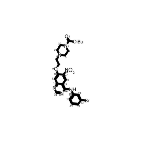 CC(C)COC(=O)N1CCN(CCOc2cc3ncnc(Nc4cccc(Br)c4)c3cc2[N+](=O)[O-])CC1